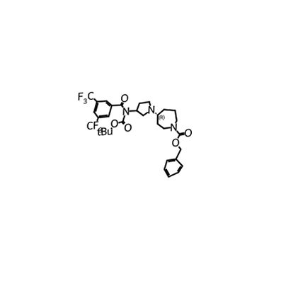 CC(C)(C)OC(=O)N(C(=O)c1cc(C(F)(F)F)cc(C(F)(F)F)c1)C1CCN([C@@H]2CCCN(C(=O)OCc3ccccc3)CC2)C1